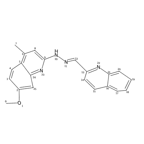 COc1ccc2c(C)cc(NN=Cc3ccc4ccccc4n3)nc2c1